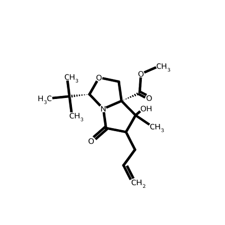 C=CCC1C(=O)N2[C@H](C(C)(C)C)OC[C@@]2(C(=O)OC)C1(C)O